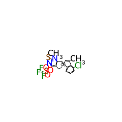 CSc1nc2c(c(OS(=O)(=O)C(F)(F)F)n1)CC[C@@]1(C=C(C)c3c(Cl)cccc31)C2